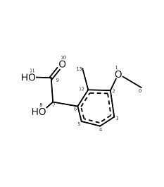 COc1cccc(C(O)C(=O)O)c1C